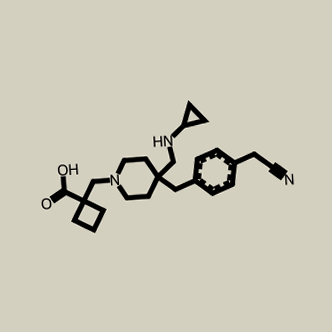 N#CCc1ccc(CC2(CNC3CC3)CCN(CC3(C(=O)O)CCC3)CC2)cc1